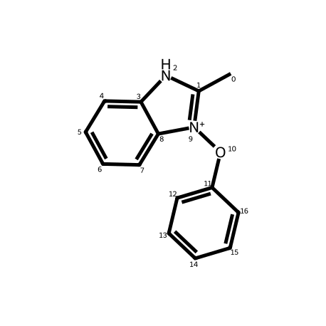 Cc1[nH]c2ccccc2[n+]1Oc1ccccc1